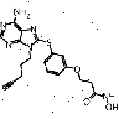 C#CCCCn1c(Sc2cccc(OCCC(=O)NO)c2)nc2c(N)ncnc21